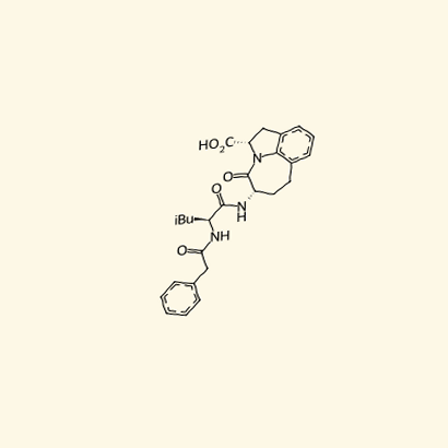 CCC(C)[C@H](NC(=O)Cc1ccccc1)C(=O)N[C@H]1CCc2cccc3c2N(C1=O)[C@H](C(=O)O)C3